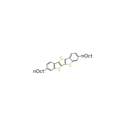 CCCCCCCCc1ccc2c(c1)sc1c2sc2c3ccc(CCCCCCCC)cc3sc21